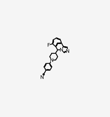 N#Cc1ccc(N2CCC(C3C4=C=C(C=CC=C4F)c4cncn43)CC2)cc1